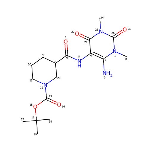 Cn1c(N)c(NC(=O)C2CCCN(C(=O)OC(C)(C)C)C2)c(=O)n(C)c1=O